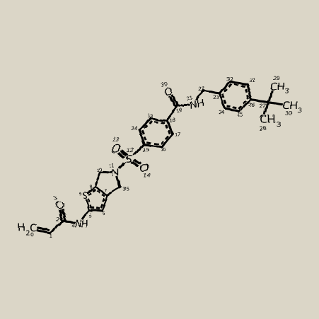 C=CC(=O)Nc1cc2c(s1)CN(S(=O)(=O)c1ccc(C(=O)NCc3ccc(C(C)(C)C)cc3)cc1)C2